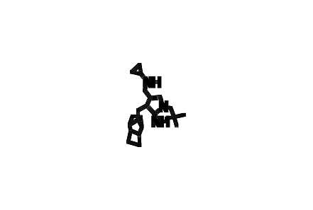 CC(C)(C)CN1C=C(CNC2CC2)C(CC2C3CCC2C2CCC23)C1=N